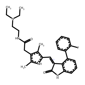 CCN(CC)CCNC(=O)Cc1c(C)[nH]c(/C=C2\C(=O)Nc3cccc(-c4ccccc4F)c32)c1C